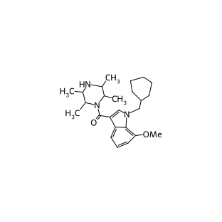 COc1cccc2c(C(=O)N3C(C)C(C)NC(C)C3C)cn(CC3CCCCC3)c12